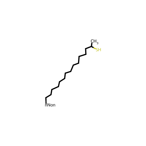 CCCCCCCCCCCCCCCCCCCCCCC(C)S